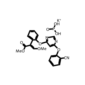 CO/C=C(/C(=O)OC)c1ccccc1Oc1cc(Oc2ccccc2C#N)ncn1.[K+].[O-]P(O)O